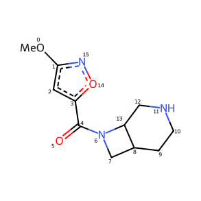 COc1cc(C(=O)N2CC3CCNCC32)on1